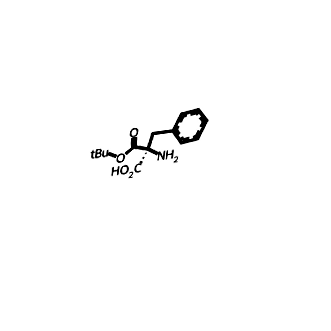 CC(C)(C)OC(=O)[C@](N)(Cc1ccccc1)C(=O)O